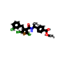 COC(=O)c1ccc(C(C)NC(=O)c2c(Br)sc(Br)c2Cc2cccc(Cl)c2)cc1